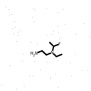 CCN(CCN)C(C)F